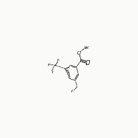 O=C(OBr)c1cc(CF)cc(C(F)(F)F)c1